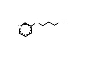 COCCCOc1cccnc1